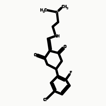 CN(C)CCNC=C1C(=O)CC(c2cc(Cl)ccc2F)CC1=O